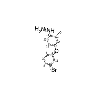 Cc1cc(Oc2cccc(Br)c2)ccc1NN